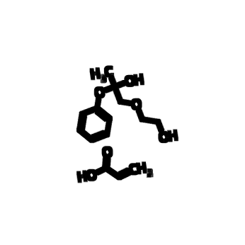 C=CC(=O)O.CC(O)(COCCO)Oc1ccccc1